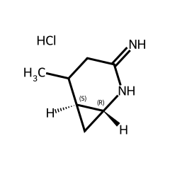 CC1CC(=N)N[C@@H]2C[C@@H]12.Cl